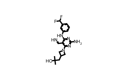 CC(C)(O)CC1CN(c2nc(N)nc(Nc3cccc(C(F)F)c3)c2C=N)C1